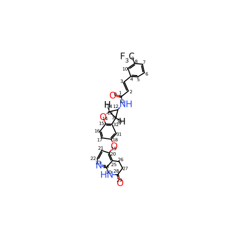 O=C(/C=C/c1cccc(C(F)(F)F)c1)N[C@@H]1[C@H]2Oc3ccc(Oc4ccnc5c4CCC(=O)N5)cc3[C@@H]12